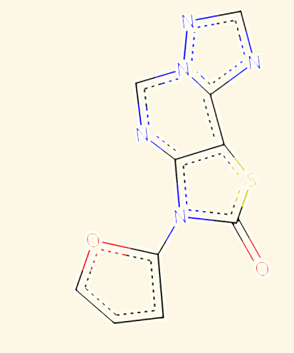 O=c1sc2c(ncn3ncnc23)n1-c1ccco1